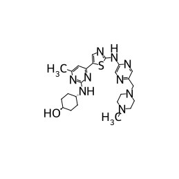 Cc1cc(-c2cnc(Nc3cnc(CN4CCN(C)CC4)cn3)s2)nc(N[C@H]2CC[C@H](O)CC2)n1